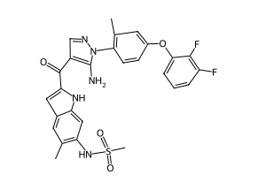 Cc1cc2cc(C(=O)c3cnn(-c4ccc(Oc5cccc(F)c5F)cc4C)c3N)[nH]c2cc1NS(C)(=O)=O